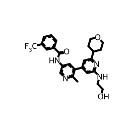 Cc1ncc(NC(=O)c2cccc(C(F)(F)F)c2)cc1-c1cc(NCCO)nc(C2CCOCC2)c1